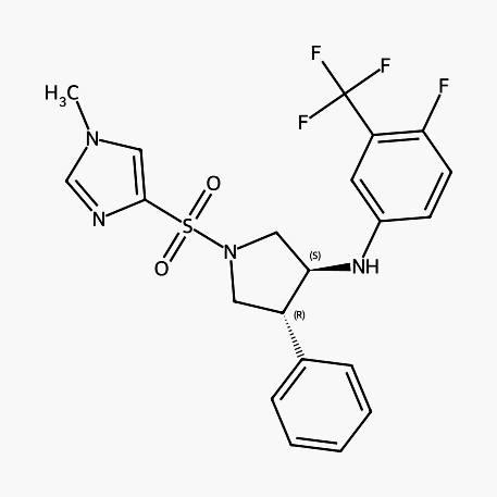 Cn1cnc(S(=O)(=O)N2C[C@@H](Nc3ccc(F)c(C(F)(F)F)c3)[C@H](c3ccccc3)C2)c1